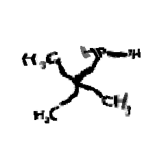 [3H]PC(C)(C)C